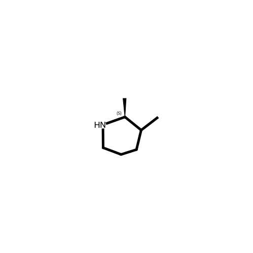 CC1CCCN[C@H]1C